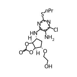 CCCSc1nc(Cl)c(N)c(N[C@@H]2C[C@H](OCCO)[C@H]3OC(=O)O[C@H]32)n1